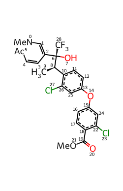 CN/C=C(\C=C/C(C)=O)[C@](O)([C@H](C)c1ccc(Oc2ccc(C(=O)OC)c(Cl)c2)cc1Cl)C(F)(F)F